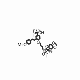 CCC1(c2ccc3c(c2)OCCO3)NC(=O)N(CCCCOc2ccc(C(O)(C(F)F)C(F)(F)F)cc2CCc2ccc(OC)cc2)C1=O